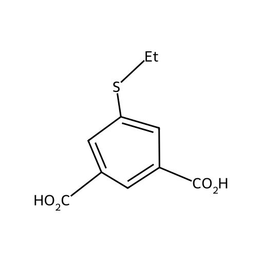 CCSc1cc(C(=O)O)cc(C(=O)O)c1